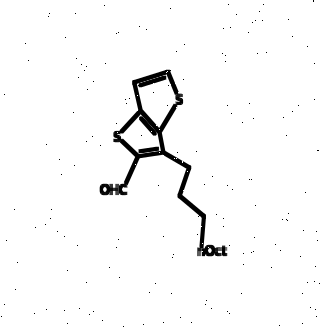 CCCCCCCCCCCc1c(C=O)sc2ccsc12